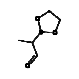 CC(C=O)B1OCCO1